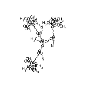 CCCCOCC(COCCCOP(OCCC#N)OCCCCCCO[C@@H]1OC(COC(C)=O)[C@H](OC(C)=O)C(OC(C)=O)[C@@H]1NC(C)=O)(COCCCOP(OCCC#N)OCCCCCCO[C@@H]1OC(COC(C)=O)[C@H](OC(C)=O)C(OC(C)=O)[C@@H]1NC(C)=O)COCCCOP(OCCC#N)OCCCCCCO[C@@H]1OC(COC(C)=O)[C@H](OC(C)=O)C(OC(C)=O)[C@@H]1NC(C)=O